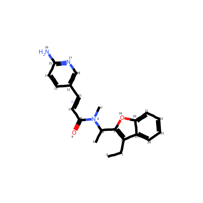 CCc1c(C(C)N(C)C(=O)/C=C/c2ccc(N)nc2)oc2ccccc12